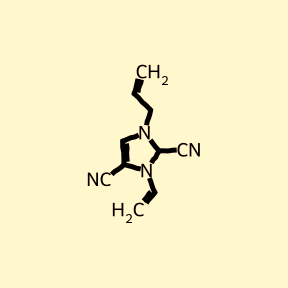 C=CCN1C=C(C#N)N(C=C)C1C#N